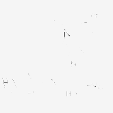 Cc1cc(CN(Cc2cn(C)c3cc(Br)ccc3c2=O)[C@H]2CCCN(c3ccc(N)nc3)C2)ccn1.Cl